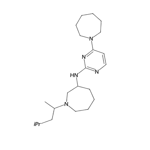 CC(C)CC(C)N1CCCCC(Nc2nccc(N3CCCCCC3)n2)C1